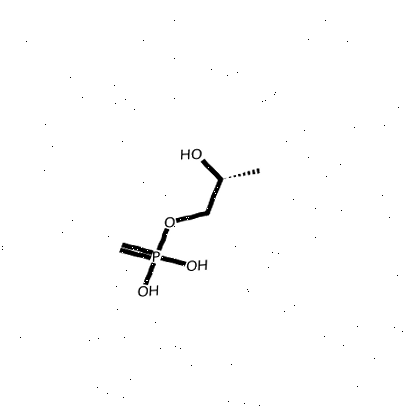 C=P(O)(O)OC[C@@H](C)O